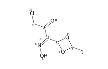 CC1OC(/C(=N\O)C(=O)CCl)O1